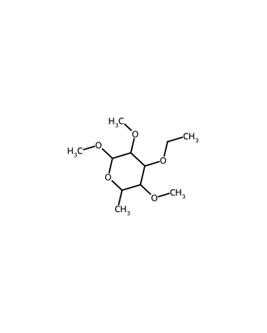 CCOC1C(OC)C(C)OC(OC)C1OC